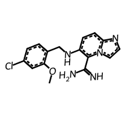 COc1cc(Cl)ccc1CNc1ccc2nccn2c1C(=N)N